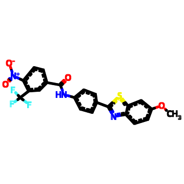 COc1ccc2nc(-c3ccc(NC(=O)c4ccc([N+](=O)[O-])c(C(F)(F)F)c4)cc3)sc2c1